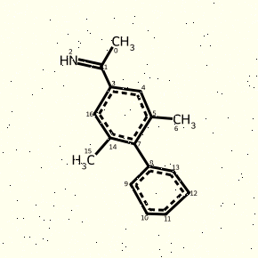 CC(=N)c1cc(C)c(-c2ccccc2)c(C)c1